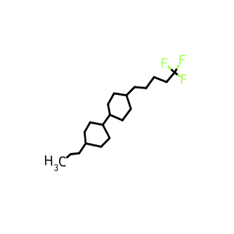 CCCC1CCC(C2CCC(CCCCC(F)(F)F)CC2)CC1